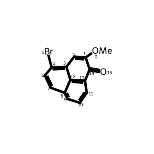 COC1=Cc2c(Br)ccc3cccc(c23)C1=O